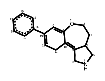 C1=C2OCCC3CNCC3=C2CC=C1c1ccccc1